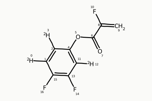 [2H]c1c([2H])c(OC(=O)C(=C)F)c([2H])c(F)c1F